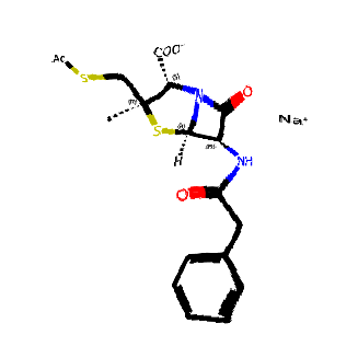 CC(=O)SC[C@]1(C)S[C@@H]2[C@H](NC(=O)Cc3ccccc3)C(=O)N2[C@H]1C(=O)[O-].[Na+]